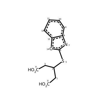 O=C(O)CC(CC(=O)O)Sc1nc2ccccc2o1